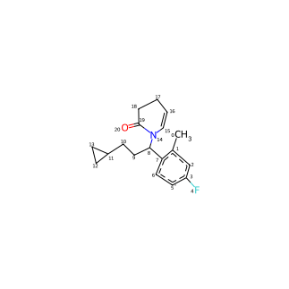 Cc1cc(F)[c]cc1C(CCC1CC1)N1C=CCCC1=O